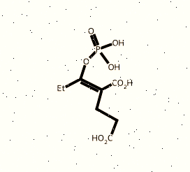 CCC(OP(=O)(O)O)=C(CCC(=O)O)C(=O)O